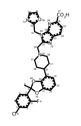 CC1(c2ccc(Cl)cc2F)Oc2cccc(C3CCN(Cc4nc5ccc(C(=O)O)nc5n4Cc4ncco4)CC3)c2O1